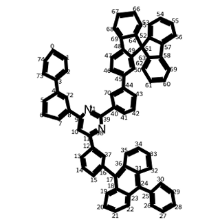 c1ccc(-c2cccc(-c3cc(-c4cccc(-c5c6ccccc6c(-c6ccccc6)c6ccccc56)c4)nc(-c4cccc(-c5ccc6c(c5)C5(c7ccccc7-c7ccccc75)c5ccccc5-6)c4)n3)c2)cc1